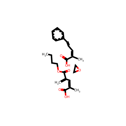 C1CO1.C=C(C=C(C)C(=O)O)C(=O)OCCCC.CC(=CC=Cc1ccccc1)C(=O)O